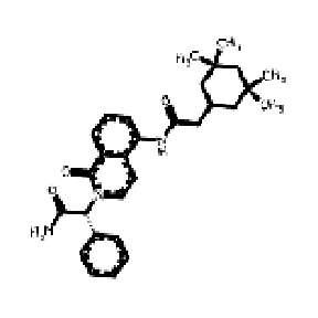 CC1(C)CC(CC(=O)Nc2cccc3c(=O)n([C@@H](C(N)=O)c4ccccc4)ccc23)CC(C)(C)C1